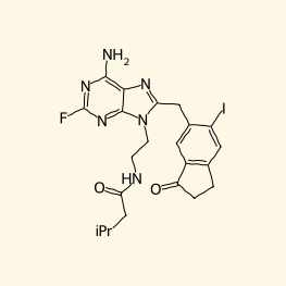 CC(C)CC(=O)NCCn1c(Cc2cc3c(cc2I)CCC3=O)nc2c(N)nc(F)nc21